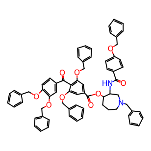 O=C(NC1CN(Cc2ccccc2)CCCC1OC(=O)c1cc(OCc2ccccc2)c(C(=O)c2ccc(OCc3ccccc3)c(OCc3ccccc3)c2)c(OCc2ccccc2)c1)c1ccc(OCc2ccccc2)cc1